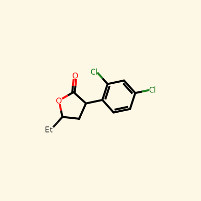 CCC1CC(c2ccc(Cl)cc2Cl)C(=O)O1